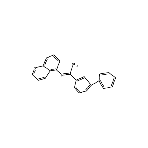 NC(=Nc1cccc2ncccc12)c1cccc(-c2ccccc2)c1